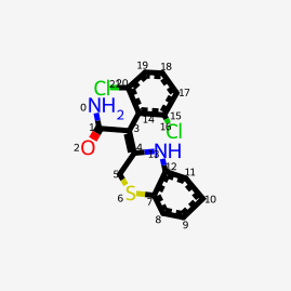 NC(=O)C(=C1CSc2ccccc2N1)c1c(Cl)cccc1Cl